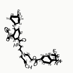 C#CCN(CCNC(=O)c1ccc(Sc2ccc(F)cc2)c([N+](=O)[O-])c1)CCOC(=O)c1ccc(C2(C(F)(F)F)N=N2)cc1